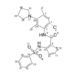 Cc1cc(Cl)c(NC(=O)c2sccc2NS(=O)(=O)c2ccccc2)c(C)c1N1CCCC1